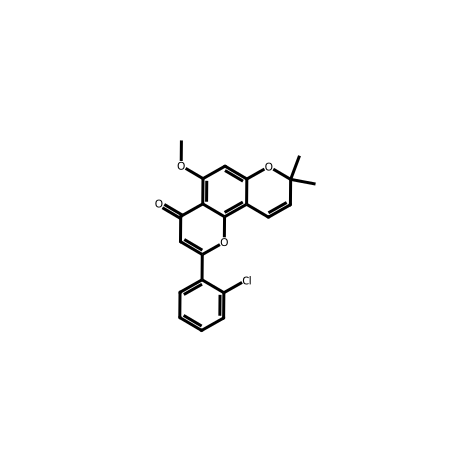 COc1cc2c(c3oc(-c4ccccc4Cl)cc(=O)c13)C=CC(C)(C)O2